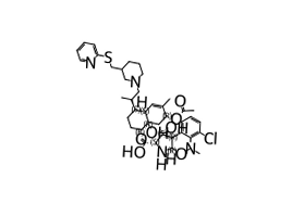 CC(=O)O[C@H]1C(C)=C[C@@H]2[C@H](C(C)CN3CCCC(CSc4ccccn4)C3)CC[C@@H](C)[C@]2(O)C1[C@H]1[C@@H](C(=O)O)N[C@@H]2ON(C)c3c(Cl)cccc3[C@@]21O